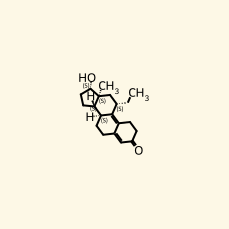 CC[C@H]1C[C@]2(C)[C@@H](O)CC[C@H]2[C@@H]2CCC3=CC(=O)CCC3=C12